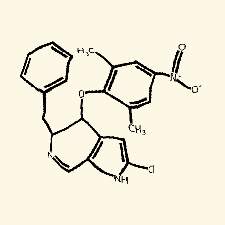 Cc1cc([N+](=O)[O-])cc(C)c1OC1c2cc(Cl)[nH]c2C=NC1Cc1ccccc1